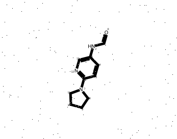 O=CNc1ccc(N2CCCC2)nc1